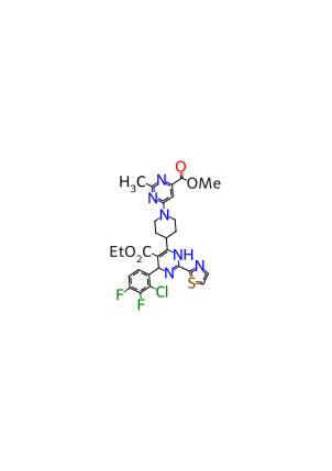 CCOC(=O)C1=C(C2CCN(c3cc(C(=O)OC)nc(C)n3)CC2)NC(c2nccs2)=NC1c1ccc(F)c(F)c1Cl